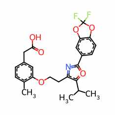 Cc1ccc(CC(=O)O)cc1OCCc1nc(-c2ccc3c(c2)OC(F)(F)O3)oc1C(C)C